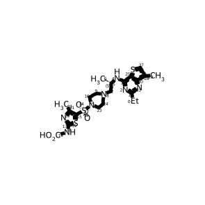 CCc1nc(N[C@@H](C)CN2CCN(S(=O)(=O)c3sc(NC(=O)O)nc3C)CC2)c2scc(C)c2n1